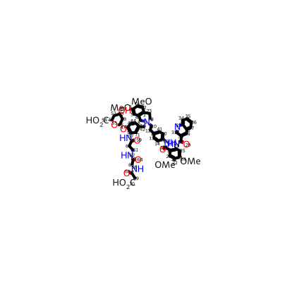 COc1cc2c(cc1OC)C[N+](CCc1ccc(NC(=O)c3cc(OC)c(OC)cc3NC(=O)c3cnc4ccccc4c3)cc1)(Cc1ccc(OC3C[C@@H](O)C[C@@H](C(=O)O)O3)c(NC(=O)CCNC(=O)CNC(=O)CC(=O)O)c1)CC2